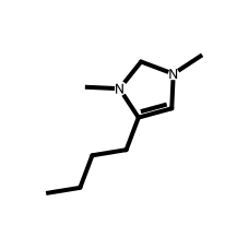 CCCCC1=CN(C)CN1C